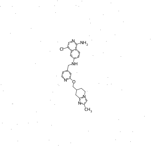 Cc1cn2c(n1)CC(COc1cc(CNc3ccc4c(N)ncc(Cl)c4c3)ccn1)CC2